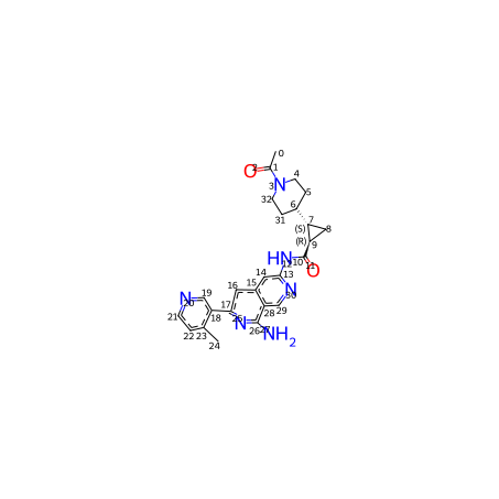 CC(=O)N1CCC([C@@H]2C[C@H]2C(=O)Nc2cc3cc(-c4cnccc4C)nc(N)c3cn2)CC1